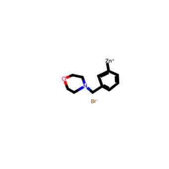 [Br-].[Zn+][c]1cccc(CN2CCOCC2)c1